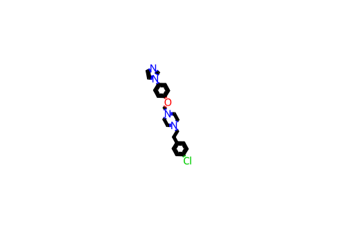 Clc1ccc(CCN2CCN(COc3ccc(-n4ccnc4)cc3)CC2)cc1